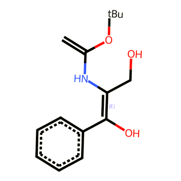 C=C(N/C(CO)=C(/O)c1ccccc1)OC(C)(C)C